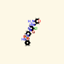 N[C@H]1CCOC[C@H]1CNc1cnn(C2CCN(S(=O)(=O)Nc3ccccc3)CC2)c(=O)c1Cl